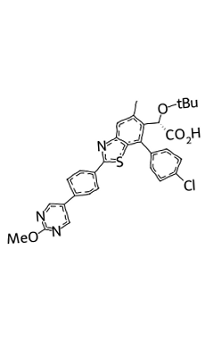 COc1ncc(-c2ccc(-c3nc4cc(C)c([C@H](OC(C)(C)C)C(=O)O)c(-c5ccc(Cl)cc5)c4s3)cc2)cn1